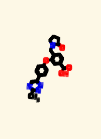 Cc1ncc(-c2ccc(Oc3cc(C(=O)O)ccc3CN3CCCC3=O)cc2)nn1